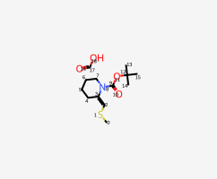 CSC=C1CCCCN1C(=O)OC(C)(C)C.O=CO